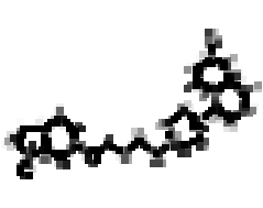 O=C1N=Cc2ccc(OCCCCN3CCN(c4cccc5cc(F)ccc45)CC3)cc21